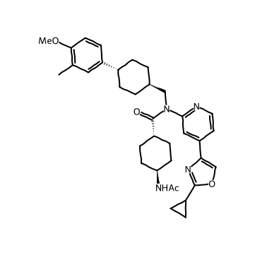 COc1ccc([C@H]2CC[C@H](CN(c3cc(-c4coc(C5CC5)n4)ccn3)C(=O)[C@H]3CC[C@H](NC(C)=O)CC3)CC2)cc1C